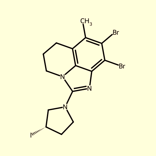 Cc1c(Br)c(Br)c2nc(N3CC[C@H](I)C3)n3c2c1CCC3